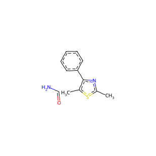 Cc1nc(-c2ccccc2)c(C)s1.NC=O